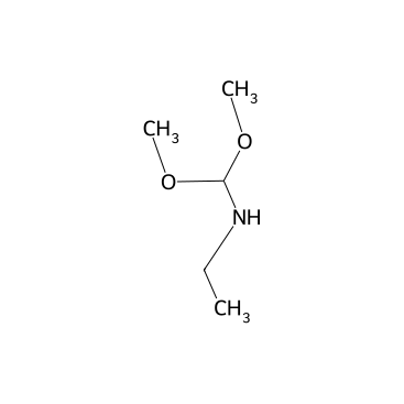 CCNC(OC)OC